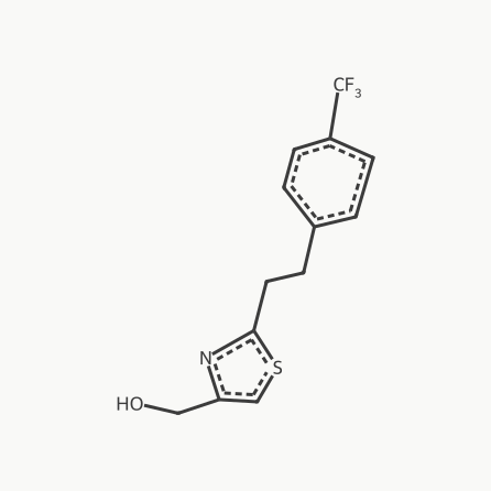 OCc1csc(CCc2ccc(C(F)(F)F)cc2)n1